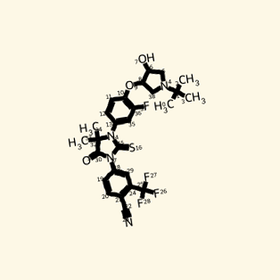 CC(C)(C)N1CC(O)C(Oc2ccc(N3C(=S)N(c4ccc(C#N)c(C(F)(F)F)c4)C(=O)C3(C)C)cc2F)C1